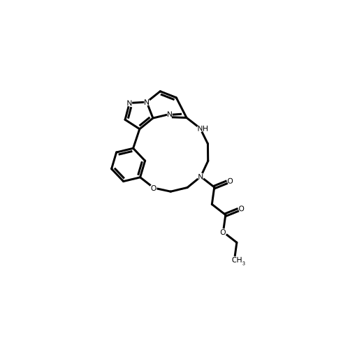 CCOC(=O)CC(=O)N1CCNc2ccn3ncc(c3n2)-c2cccc(c2)OCC1